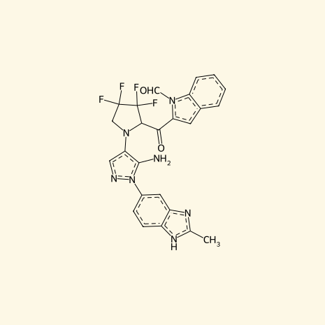 Cc1nc2cc(-n3ncc(N4CC(F)(F)C(F)(F)C4C(=O)c4cc5ccccc5n4C=O)c3N)ccc2[nH]1